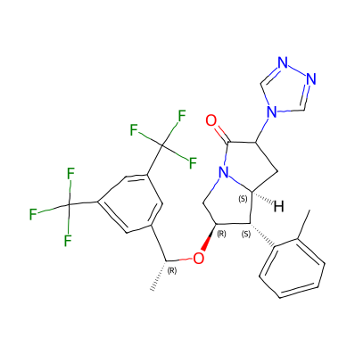 Cc1ccccc1[C@@H]1[C@@H](O[C@H](C)c2cc(C(F)(F)F)cc(C(F)(F)F)c2)CN2C(=O)C(n3cnnc3)C[C@@H]12